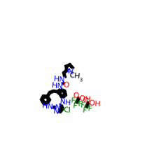 CN1CCCC1CCNC(=O)Nc1ccc2cc1CCc1cccc(c1)Nc1ncc(Cl)c(n1)N2.O=C(O)C(F)(F)F.O=C(O)C(F)(F)F